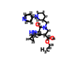 C#C[C@@H](CN(CC1CCCN(c2ccncc2)C1)C(=O)CNC1CC1)C(=O)OCC